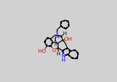 Oc1ccc2c3c1O[C@H]1c4[nH]c5ccccc5c4C[C@@]4(O)[C@@H](C2)N(Cc2ccccc2)CC[C@]314